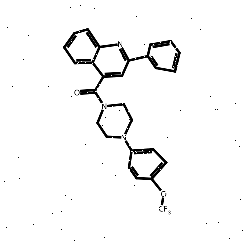 O=C(c1cc(-c2ccccc2)nc2ccccc12)N1CCN(c2ccc(OC(F)(F)F)cc2)CC1